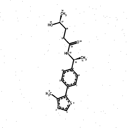 Cc1ncsc1-c1ccc([C@H](C)NC(=O)CC[C@H](C)O)cc1